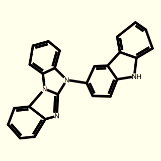 c1ccc2c(c1)nc1n(-c3ccc4[nH]c5ccccc5c4c3)c3ccccc3n21